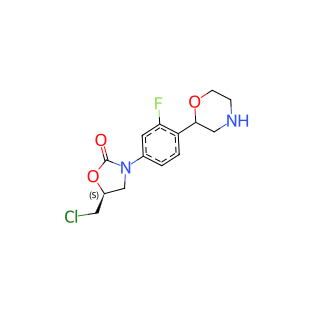 O=C1O[C@H](CCl)CN1c1ccc(C2CNCCO2)c(F)c1